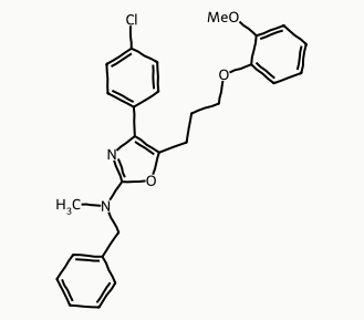 COc1ccccc1OCCCc1oc(N(C)Cc2ccccc2)nc1-c1ccc(Cl)cc1